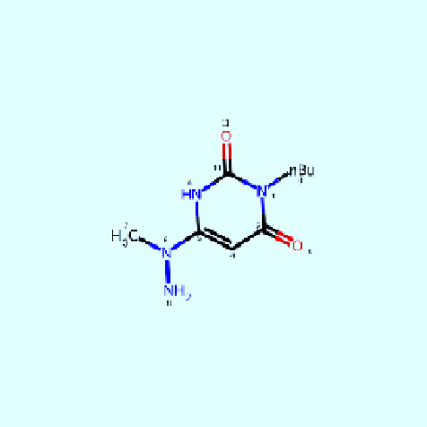 CCCCn1c(=O)cc(N(C)N)[nH]c1=O